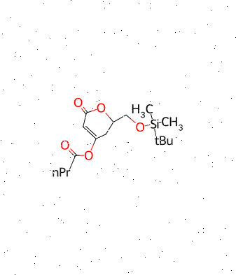 CCCC(=O)OC1=CC(=O)OC(CO[Si](C)(C)C(C)(C)C)C1